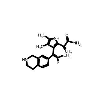 C=C(C(N)=O)c1[nH]c(C)c(C)c1/C(=C(\C)F)c1ccc2c(c1)CNCC2